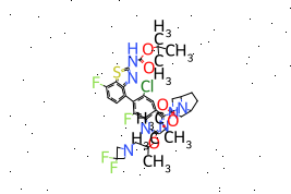 CC(CN1CC(F)(F)C1)Oc1nc(N2CC3CCC(C2)N3C(=O)OC(C)(C)C)c2cc(Cl)c(-c3ccc(F)c4sc(NC(=O)OC(C)(C)C)nc34)c(F)c2n1